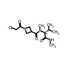 CNC(=O)[C@H](C(C)C)N(C)C(=O)C1CN(C(=O)CCl)C1